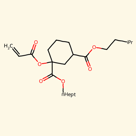 C=CC(=O)OC1(C(=O)OCCCCCCC)CCCC(C(=O)OCCC(C)C)C1